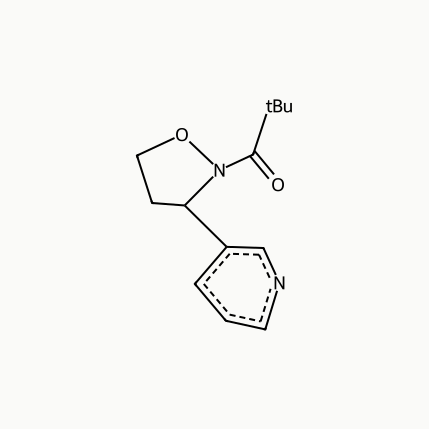 CC(C)(C)C(=O)N1OCCC1c1cccnc1